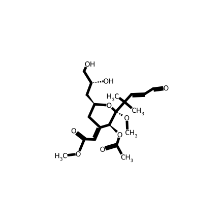 COC(=O)/C=C1\C[C@@H](C[C@@H](O)CO)O[C@@](OC)(C(C)(C)/C=C/C=O)[C@H]1OC(C)=O